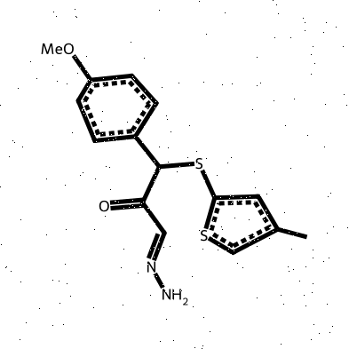 COc1ccc(C(Sc2cc(C)cs2)C(=O)C=NN)cc1